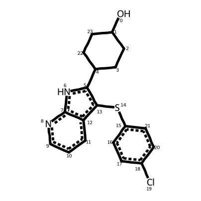 OC1CCC(c2[nH]c3ncccc3c2Sc2ccc(Cl)cc2)CC1